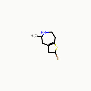 CC1CC2=C(CCN1)SC(Br)C2